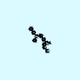 CC(C)c1cc(-c2ccc(-c3cccc(-c4cc(-c5ccc(-c6ccccc6)cc5)nc(-c5ccccc5)n4)c3)cc2)c2ccc3ccc(-c4cccnc4)nc3c2n1